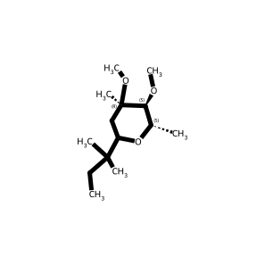 CCC(C)(C)C1C[C@@](C)(OC)[C@@H](OC)[C@H](C)O1